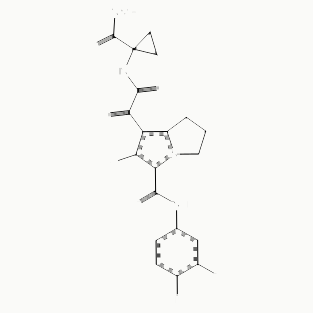 CNC(=O)C1(NC(=O)C(=O)c2c(C)c(C(=O)Nc3ccc(F)c(Cl)c3)n3c2CCC3)CC1